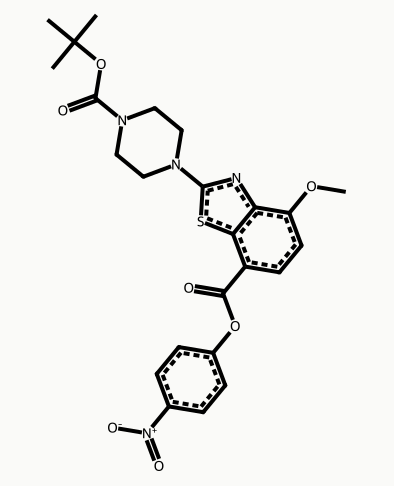 COc1ccc(C(=O)Oc2ccc([N+](=O)[O-])cc2)c2sc(N3CCN(C(=O)OC(C)(C)C)CC3)nc12